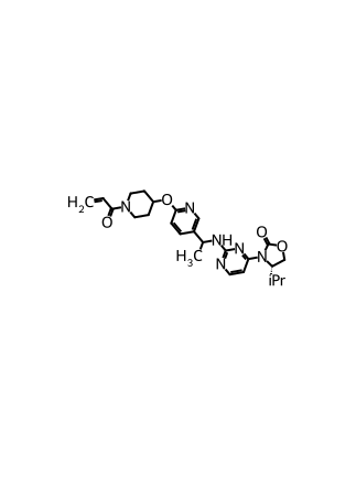 C=CC(=O)N1CCC(Oc2ccc(C(C)Nc3nccc(N4C(=O)OC[C@@H]4C(C)C)n3)cn2)CC1